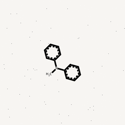 CN(c1ccccc1)c1ccccc1